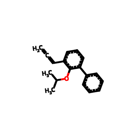 C=C=Cc1cccc(-c2ccccc2)c1OC(C)C